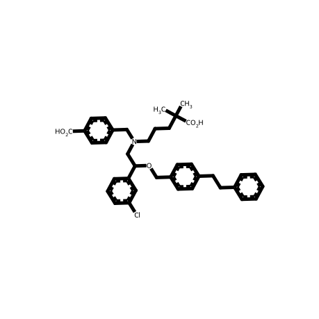 CC(C)(CCCN(Cc1ccc(C(=O)O)cc1)CC(OCc1ccc(CCc2ccccc2)cc1)c1cccc(Cl)c1)C(=O)O